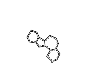 c1ccc2c3cccc4ccncc4c-3cc2c1